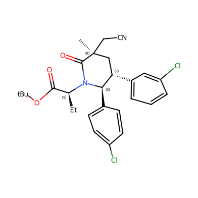 CC[C@@H](C(=O)OC(C)(C)C)N1C(=O)[C@@](C)(CC#N)C[C@H](c2cccc(Cl)c2)[C@H]1c1ccc(Cl)cc1